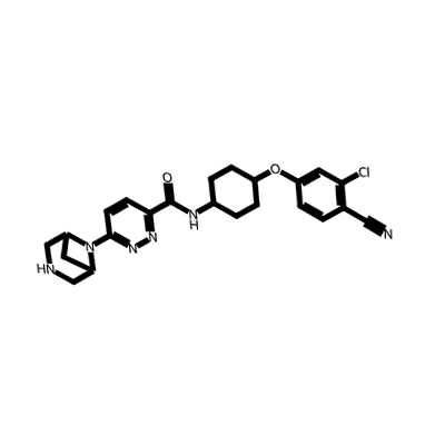 N#Cc1ccc(OC2CCC(NC(=O)c3ccc(N4C5CNCC4C5)nn3)CC2)cc1Cl